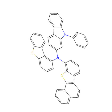 c1ccc(-n2c3ccccc3c3ccc(N(c4cccc5c4sc4c6ccccc6ccc54)c4cccc5sc6ccccc6c45)cc32)cc1